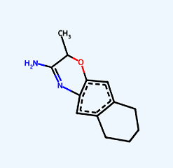 CC1Oc2cc3c(cc2N=C1N)CCCC3